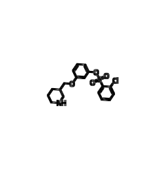 O=S(=O)(Oc1cccc(OCC2CCCNC2)c1)c1ccccc1Cl